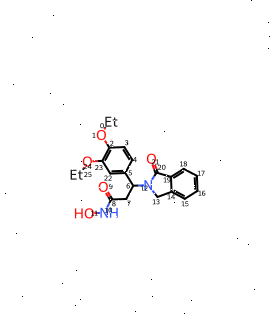 CCOc1ccc(C(CC(=O)NO)N2Cc3ccccc3C2=O)cc1OCC